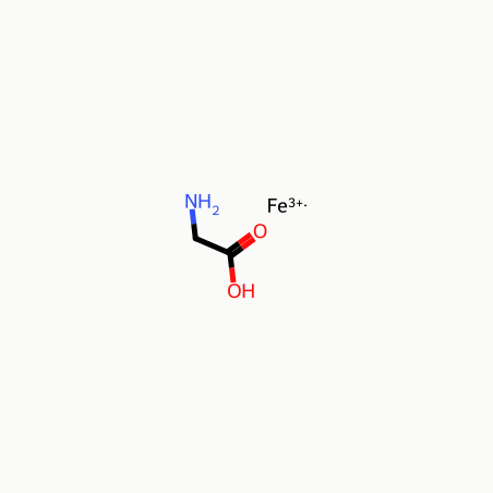 NCC(=O)O.[Fe+3]